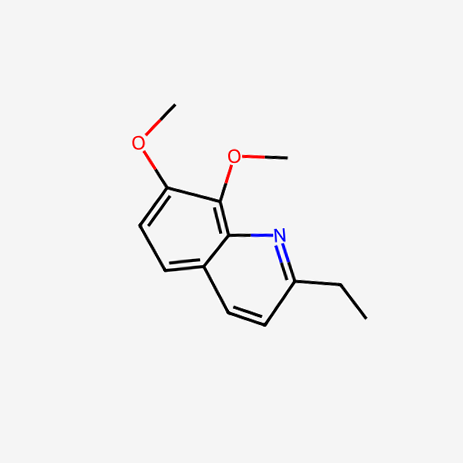 CCc1ccc2ccc(OC)c(OC)c2n1